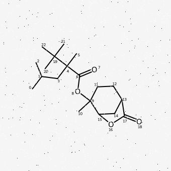 CC(C)CC(C)(C(=O)OC1(C)CCC2CC1OC2=O)C(C)(C)C